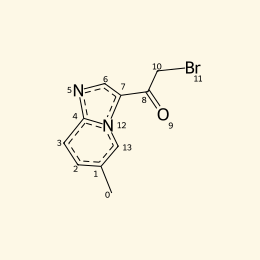 Cc1ccc2ncc(C(=O)CBr)n2c1